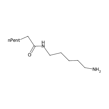 CCCCCCC(=O)NCCCCCN